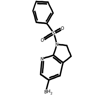 Bc1cnc2c(c1)CCN2S(=O)(=O)c1ccccc1